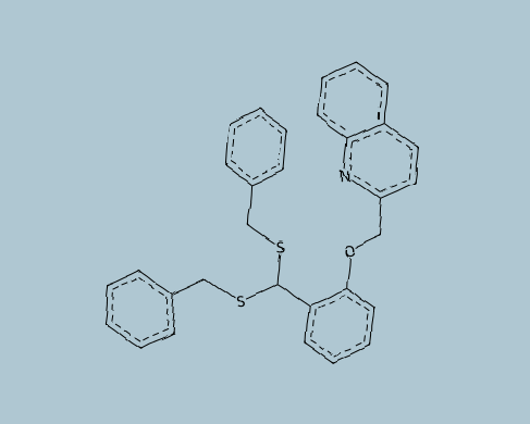 c1ccc(CSC(SCc2ccccc2)c2ccccc2OCc2ccc3ccccc3n2)cc1